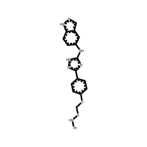 CC(C)NSCOc1ccc(-c2n[nH]c(Nc3ccc4[nH]ncc4c3)n2)cc1